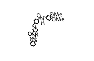 COc1ccc(CNC(=O)c2ccc(CN3C=C4C(=O)N(c5nc6ccccc6s5)N=C4CC3)cc2)cc1OC